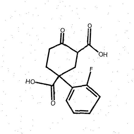 O=C(O)C1CC(C(=O)O)(c2ccccc2F)CCC1=O